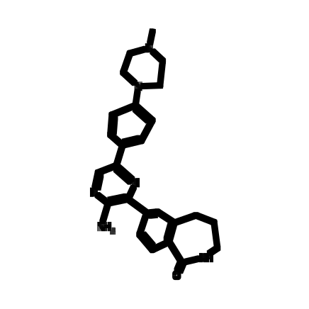 CN1CCN(c2ccc(-c3cnc(N)c(-c4ccc5c(c4)CCCNC5=O)n3)cc2)CC1